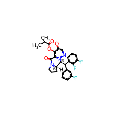 CC(C)C(=O)Oc1c2n(ncc1=O)[C@@H](C(c1cccc(F)c1)c1cccc(F)c1F)[C@H]1CCCN1C2=O